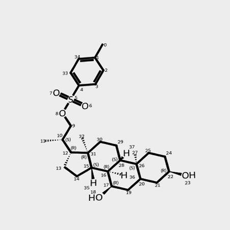 Cc1ccc(S(=O)(=O)OC[C@@H](C)[C@H]2CC[C@H]3[C@@H]4[C@H](O)CC5C[C@H](O)CC[C@]5(C)[C@H]4CC[C@]23C)cc1